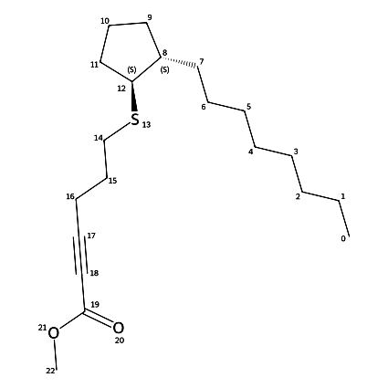 CCCCCCCC[C@H]1CCC[C@@H]1SCCCC#CC(=O)OC